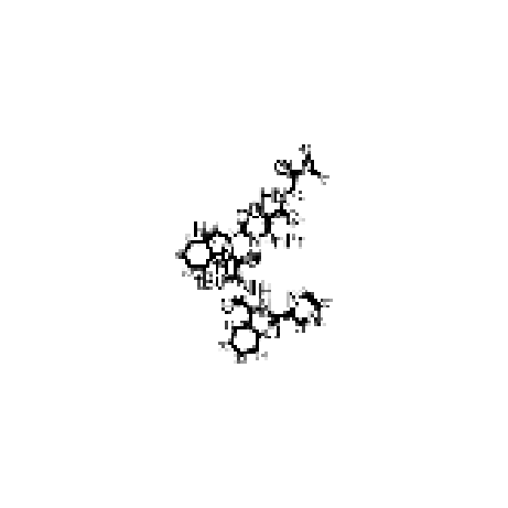 CCC[C@H](NC(=O)[C@@H]1C[C@@H]2CCCC[C@@H]2N1C(=O)[C@@H](NC(=O)[C@@H](NC(=O)c1cnccn1)C1CCCCC1)C(C)(C)C)C(=O)C(=O)NCC(=O)N(C)C